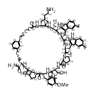 COc1ccc(C[C@@H]2NC(=O)[C@H]([C@@H](C)O)NC(=O)[C@@H]3CCCN3C(=O)[C@H](Cc3c[nH]c4ccc(F)cc34)NC(=O)[C@H](Cc3c[nH]c4ccc(F)cc34)NC(=O)[C@@H](C)NC(=O)[C@H](CCCCN)NC(=O)CCSCc3cccc(c3)CSC[C@@H](C(N)=O)NC(=O)[C@]3(C)CCCN3C2=O)cc1